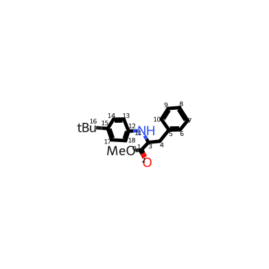 COC(=O)C(Cc1ccccc1)Nc1ccc(C(C)(C)C)cc1